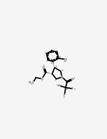 CCOC(=O)[C@H]1CN(C(=O)C(F)(F)F)C[C@H]1c1ccccc1Cl